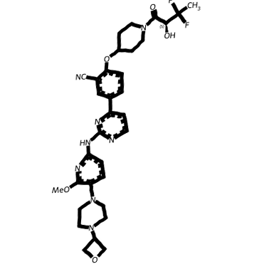 COc1nc(Nc2nccc(-c3ccc(OC4CCN(C(=O)[C@H](O)C(C)(F)F)CC4)c(C#N)c3)n2)ccc1N1CCN(C2COC2)CC1